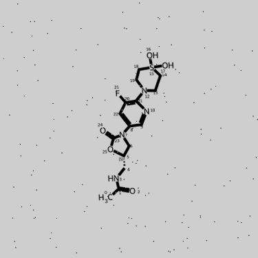 CC(=O)NC[C@H]1CN(c2cnc(N3CCS(O)(O)CC3)c(F)c2)C(=O)O1